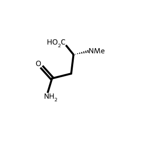 CN[C@H](CC(N)=O)C(=O)O